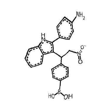 Nc1ccc(-c2[nH]c3ccccc3c2C(C[N+](=O)[O-])c2ccc(B(O)O)cc2)cc1